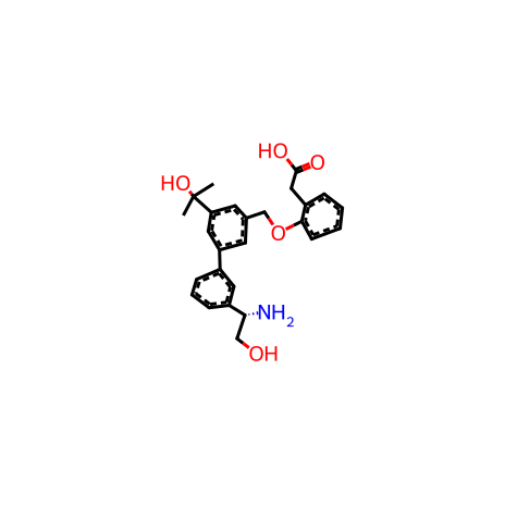 CC(C)(O)c1cc(COc2ccccc2CC(=O)O)cc(-c2cccc([C@H](N)CO)c2)c1